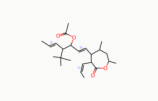 C/C=C\C1C(=O)OC(C)CC(C)C1/C=C/C(OC(C)=O)C(/C=C/C)C(C)(C)C